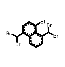 [CH2]Cc1ccc(C(Br)Br)c2cccc(C(Br)Br)c12